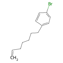 C=CCCCCCc1ccc(Br)cc1